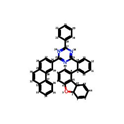 C1=CC2Oc3cccc(-c4ccccc4-c4nc(-c5ccccc5)nc(-c5ccc6ccc7ccccc7c6c5)n4)c3C2C=C1